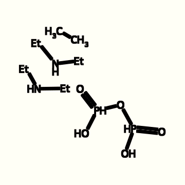 CC.CCNCC.CCNCC.O=[PH](O)O[PH](=O)O